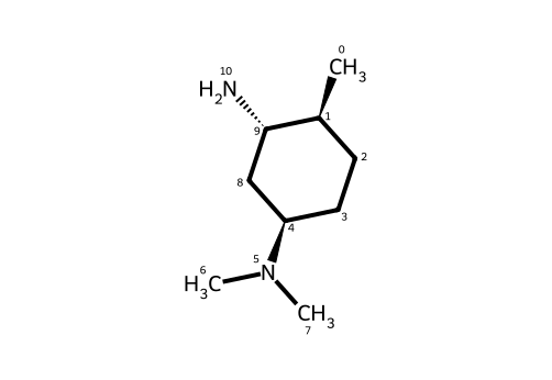 C[C@H]1CC[C@@H](N(C)C)C[C@@H]1N